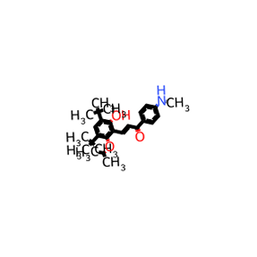 CNc1ccc(C(=O)C=Cc2c(O)c(C(C)(C)C)cc(C(C)(C)C)c2OC(C)C)cc1